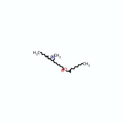 CCCCCCCCCC(CCCCCCC(=O)OCC1CC1CCCCCCCC)CN(C)C